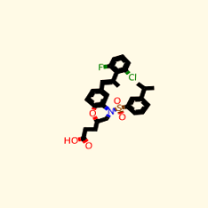 CC(=Cc1ccc2c(c1)N(S(=O)(=O)c1cccc(C(C)C)c1)CC(CCC(=O)O)O2)c1c(F)cccc1Cl